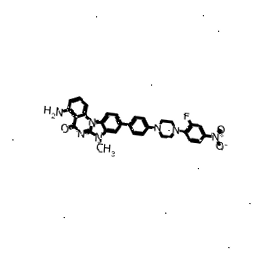 Cn1c2cc(-c3ccc(N4CCN(c5ccc([N+](=O)[O-])cc5F)CC4)cc3)ccc2n2c3cccc(N)c3c(=O)nc12